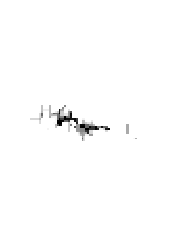 C=C(C)C(=O)SC(CC)CSc1nnc(SCCCC)s1